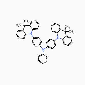 CC1(C)c2ccccc2N(c2ccc3c(c2)c2cc(N4c5ccccc5C(C)(C)c5ccccc54)ccc2n3-c2ccccc2)c2ccccc21